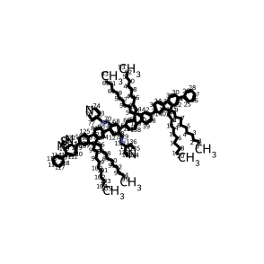 CCCCCCCCCCC1(CCCCCCCCCC)c2cc(-c3ccccc3)ccc2-c2ccc(-c3ccc4c(c3)C(CCCCCCCCCC)(CCCCCCCCCC)c3cc(-c5cc(/C=C/c6ccncc6)c(-c6ccc7c(c6)C(CCCCCCCCCC)(CCCCCCCCCC)c6cc(-c8ccc(-c9ccccc9)c9nsnc89)ccc6-7)cc5/C=C/c5ccncc5)ccc3-4)cc21